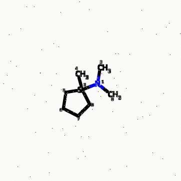 CN(C)[Si]1(C)CCCC1